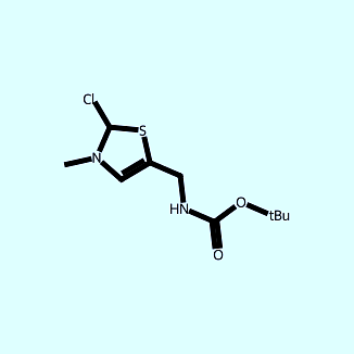 CN1C=C(CNC(=O)OC(C)(C)C)SC1Cl